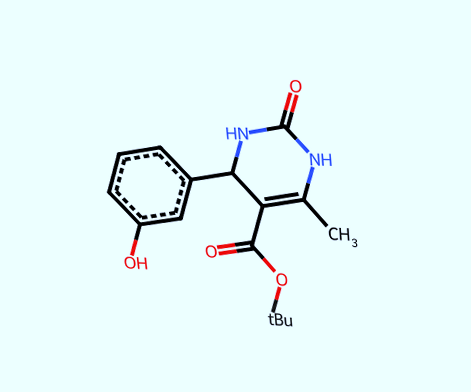 CC1=C(C(=O)OC(C)(C)C)C(c2cccc(O)c2)NC(=O)N1